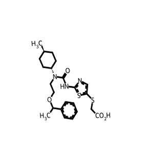 CC(OCCN(C(=O)Nc1ncc(SCC(=O)O)s1)[C@H]1CC[C@H](C)CC1)c1ccccc1